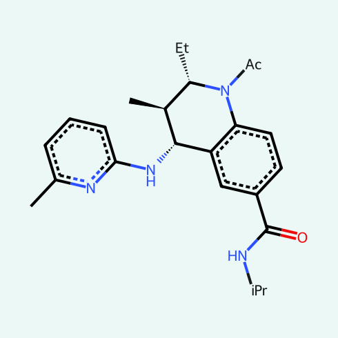 CC[C@H]1[C@H](C)[C@@H](Nc2cccc(C)n2)c2cc(C(=O)NC(C)C)ccc2N1C(C)=O